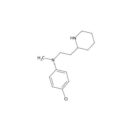 CN(CCC1CCCCN1)c1ccc(Cl)cc1